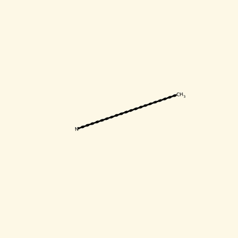 CC#CC#CC#CC#CC#CC#CC#CC#CC#CC#CC#CC#CC#CC#CC#CC#CC#CC#CC#CC#CC#N